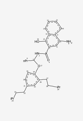 CCCC(NC(=O)c1cc(N)c2ccccc2c1O)Oc1ccc(CCC(C)C)cc1CCC(C)C